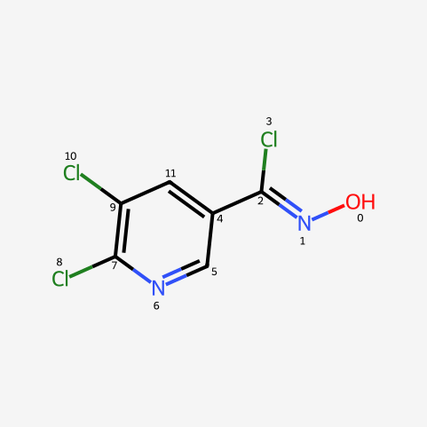 ON=C(Cl)c1cnc(Cl)c(Cl)c1